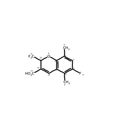 Cc1cc(F)c(C)c2c1OC(C(F)(F)F)C(C(=O)O)=C2